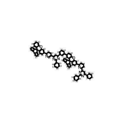 c1ccc(-c2cc(-c3cccc(-c4ccc5c(c4)Oc4ccc(-c6cccc(-c7cc(-c8ccc(-c9ccc%10c(c9)Oc9ccccc9C%109c%10ccccc%10-c%10ccccc%109)nc8)nc(-c8ccccc8)n7)c6)cc4C54c5ccccc5-c5ccccc54)n3)nc(-c3ccccc3)n2)cc1